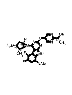 CNc1cc(F)c(F)c2c1[nH]c1nc(Oc3cnc([C@@H](C)O)nc3)nc(N3C4[C@@H](C)[C@H](N)C[C@@H]43)c12